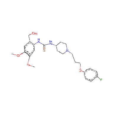 COc1cc(CO)c(NC(=S)NC2CCN(CCCOc3ccc(F)cc3)CC2)cc1OC